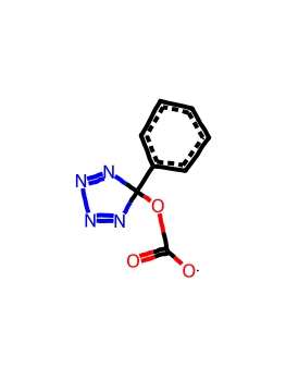 [O]C(=O)OC1(c2ccccc2)N=NN=N1